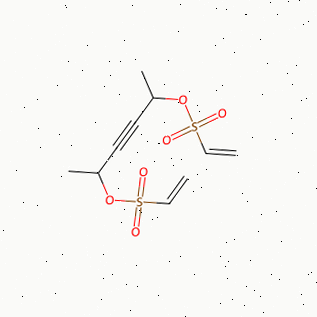 C=CS(=O)(=O)OC(C)C#CC(C)OS(=O)(=O)C=C